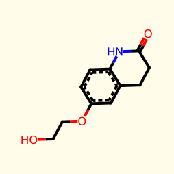 O=C1CCc2cc(OCCO)ccc2N1